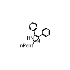 CCCCCc1nc(-c2ccccc2)c(-c2ccccc2)[nH]1